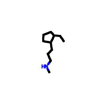 CCC1CCCC1CCCNC